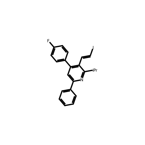 CC(C)c1nc(-c2ccccc2)cc(-c2ccc(F)cc2)c1/C=C/I